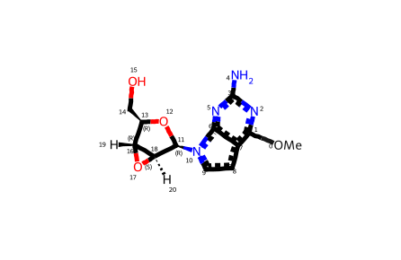 COc1nc(N)nc2c1ccn2[C@@H]1O[C@H](CO)[C@H]2O[C@@H]21